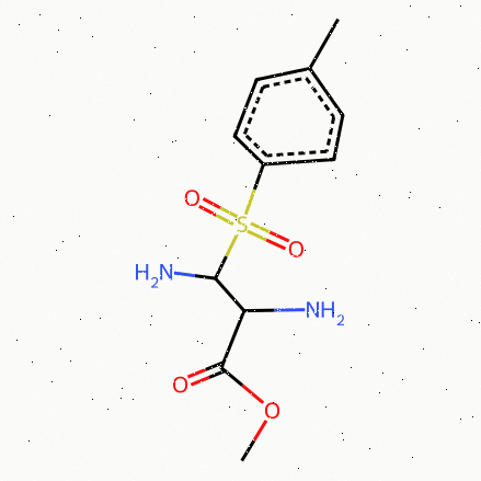 COC(=O)C(N)C(N)S(=O)(=O)c1ccc(C)cc1